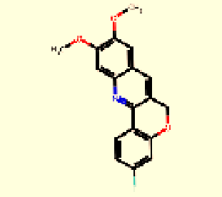 COc1cc2cc3c(nc2cc1OC)-c1ccc(F)cc1OC3